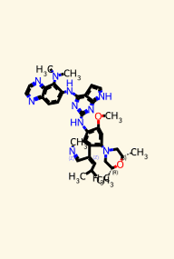 C/N=C\C(=C/C(C)C)c1cc(Nc2nc(Nc3ccc4nccnc4c3N(C)C)c3cc[nH]c3n2)c(OC)cc1N1C[C@@H](C)O[C@@H](C)C1